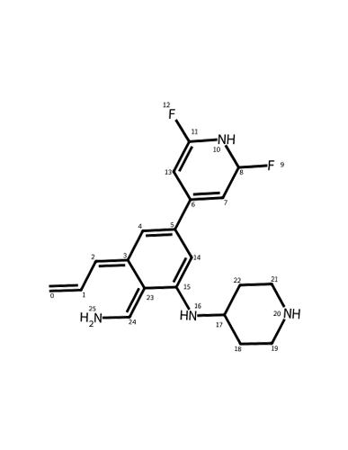 C=C/C=c1/cc(C2=CC(F)NC(F)=C2)cc(NC2CCNCC2)/c1=C/N